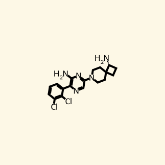 Nc1nc(N2CCC3(CC[C@H]3N)CC2)cnc1-c1cccc(Cl)c1Cl